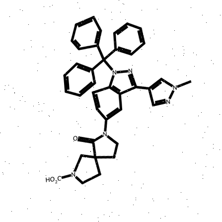 Cn1cc(-c2nn(C(c3ccccc3)(c3ccccc3)c3ccccc3)c3ccc(N4CCC5(CCN(C(=O)O)C5)C4=O)cc23)cn1